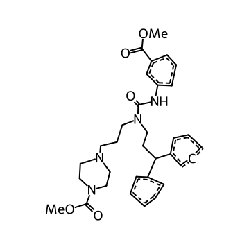 COC(=O)c1cccc(NC(=O)N(CCCN2CCN(C(=O)OC)CC2)CCC(c2ccccc2)c2ccccc2)c1